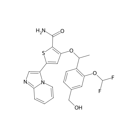 CC(Oc1cc(-c2cnc3ccccn23)sc1C(N)=O)c1ccc(CO)cc1OC(F)F